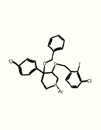 CC(=O)N1CCC(OCc2ccccc2)(c2ccc(Cl)cc2)C(OCc2cccc(Cl)c2F)C1